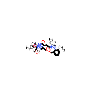 CCN(CCCC(N)=O)c1c(C)cccc1COCCCNC(=O)OC(C)(C)C